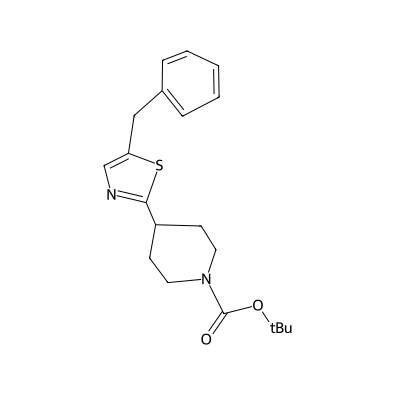 CC(C)(C)OC(=O)N1CCC(c2ncc(Cc3ccccc3)s2)CC1